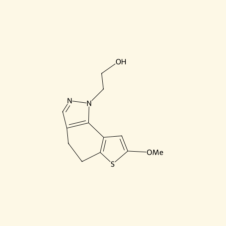 COc1cc2c(s1)CCc1cnn(CCO)c1-2